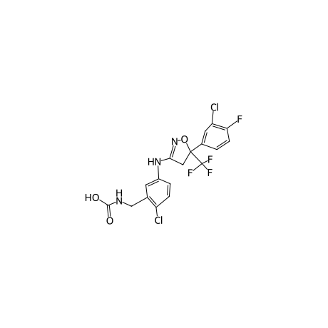 O=C(O)NCc1cc(NC2=NOC(c3ccc(F)c(Cl)c3)(C(F)(F)F)C2)ccc1Cl